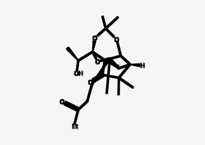 CCC(=O)CCC1(C)C[C@@H]2C3OC(C)(C)O[C@]([C@H](C)O)(O1)[C@@]3(C)C(=O)C2(C)C